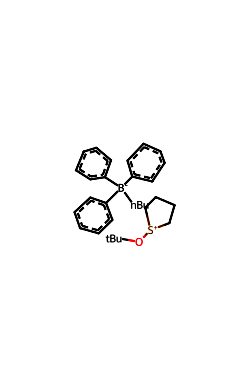 CC(C)(C)O[S+]1CCCC1.CCCC[B-](c1ccccc1)(c1ccccc1)c1ccccc1